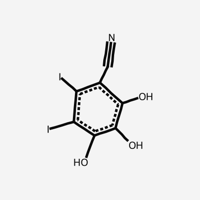 N#Cc1c(O)c(O)c(O)c(I)c1I